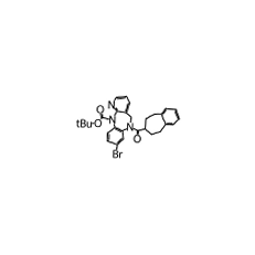 CC(C)(C)OC(=O)N1c2ccc(Br)cc2N(C(=O)C2CCc3ccccc3CC2)Cc2cccnc21